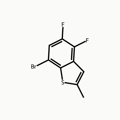 Cc1cc2c(F)c(F)cc(Br)c2s1